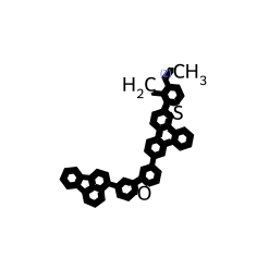 C=Cc1c(/C=C\C)ccc2sc3c(ccc4c5ccc(-c6ccc7oc8ccc(-c9ccc%10c%11c(cccc9%11)-c9ccccc9-%10)cc8c7c6)cc5c5ccccc5c43)c12